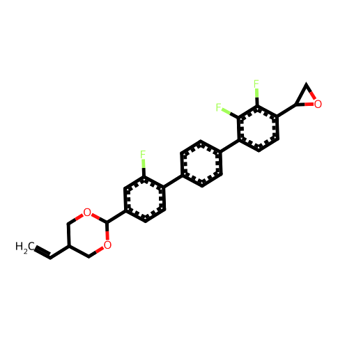 C=CC1COC(c2ccc(-c3ccc(-c4ccc(C5CO5)c(F)c4F)cc3)c(F)c2)OC1